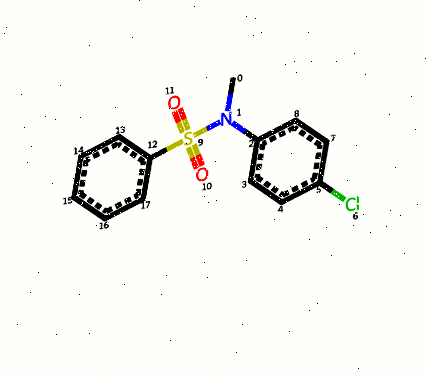 CN(c1ccc(Cl)cc1)S(=O)(=O)c1ccccc1